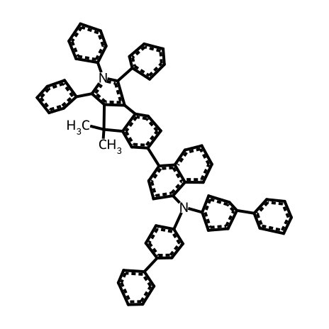 CC1(C)c2cc(-c3ccc(N(c4ccc(-c5ccccc5)cc4)c4ccc(-c5ccccc5)cc4)c4ccccc34)ccc2-c2c1c(-c1ccccc1)n(-c1ccccc1)c2-c1ccccc1